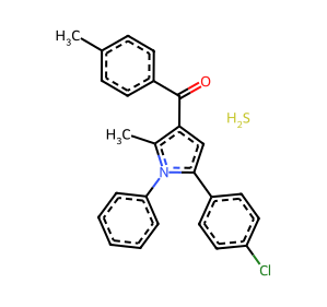 Cc1ccc(C(=O)c2cc(-c3ccc(Cl)cc3)n(-c3ccccc3)c2C)cc1.S